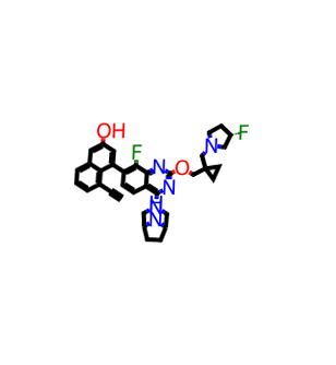 C#Cc1cccc2cc(O)cc(-c3ccc4c(N5CC6CCC(C5)N6)nc(OCC5(CN6CC[C@H](F)C6)CC5)nc4c3F)c12